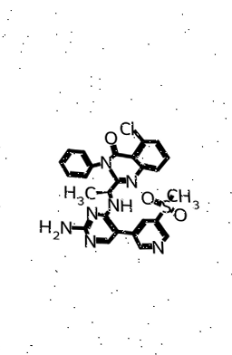 C[C@H](Nc1nc(N)ncc1-c1cncc(S(C)(=O)=O)c1)c1nc2cccc(Cl)c2c(=O)n1-c1ccccc1